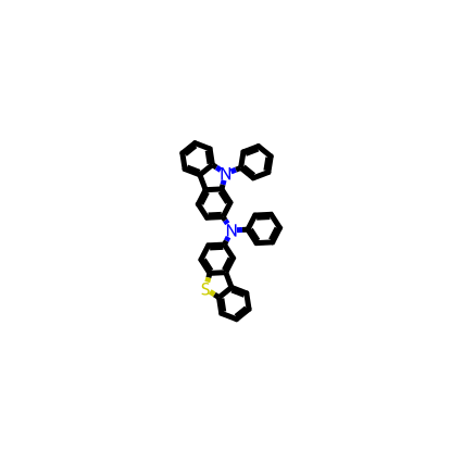 c1ccc(N(c2ccc3sc4ccccc4c3c2)c2ccc3c4ccccc4n(-c4ccccc4)c3c2)cc1